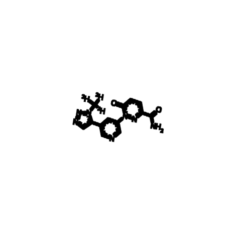 [2H]C([2H])([2H])n1nncc1-c1cncc(-n2nc(C(N)=O)ccc2=O)c1